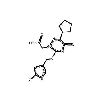 O=C(O)Cn1nc(C2CCCC2)c(=O)nc1SCc1csc(Cl)c1